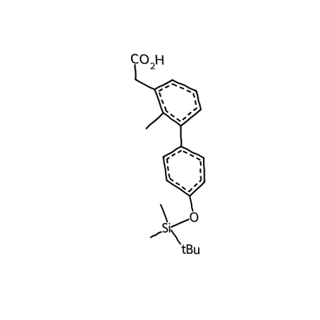 Cc1c(CC(=O)O)cccc1-c1ccc(O[Si](C)(C)C(C)(C)C)cc1